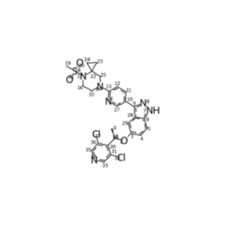 C[C@@H](Oc1ccc2[nH]nc(-c3ccc(N4CCN(S(C)(=O)=O)C5(CC5)C4)nc3)c2c1)c1c(Cl)cncc1Cl